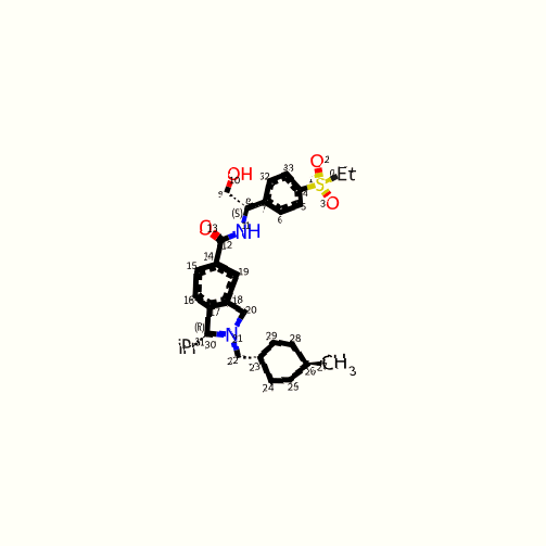 CCS(=O)(=O)c1ccc([C@@H](CO)NC(=O)c2ccc3c(c2)CN(C[C@H]2CC[C@H](C)CC2)[C@@H]3C(C)C)cc1